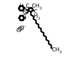 CCCCCCCCCCCCCCCCCCC1=C(C)C(C)=C(C)[C]1([Ti+3])C[SiH](c1ccccc1)c1ccccc1.[Cl-].[Cl-].[Cl-]